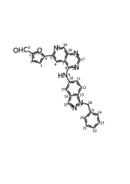 O=Cc1ccc(-c2cc3c(Nc4ccc5c(cnn5Cc5ccccc5)c4)ncnc3cn2)o1